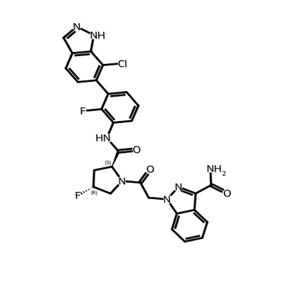 NC(=O)c1nn(CC(=O)N2C[C@H](F)C[C@H]2C(=O)Nc2cccc(-c3ccc4cn[nH]c4c3Cl)c2F)c2ccccc12